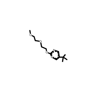 COCCOCCOc1ncc(C(C)(C)C)cn1